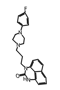 O=C1Nc2cccc3cccc(c23)N1CCCN1CCN(c2ccc(F)cc2)CC1